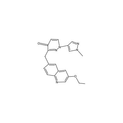 CCOc1cnc2ccc(Cc3nn(-c4cnn(C)c4)ccc3=O)cc2c1